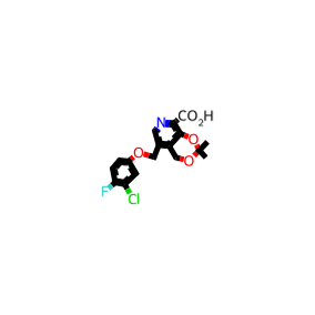 CC1(C)OCc2c(COc3ccc(F)c(Cl)c3)cnc(C(=O)O)c2O1